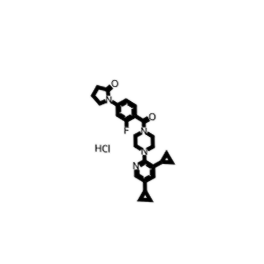 Cl.O=C(c1ccc(N2CCCC2=O)cc1F)N1CCN(c2ncc(C3CC3)cc2C2CC2)CC1